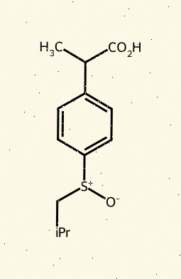 CC(C)C[S+]([O-])c1ccc(C(C)C(=O)O)cc1